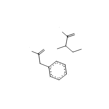 CCC(C)C(=O)O.O=C(O)Cc1ccccc1